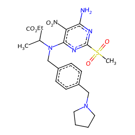 CCOC(=O)C(C)N(Cc1ccc(CN2CCCC2)cc1)c1nc(S(C)(=O)=O)nc(N)c1[N+](=O)[O-]